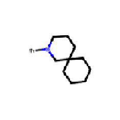 CC(C)N1CCCC2(CCCCC2)C1